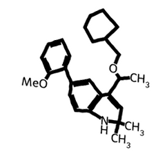 COc1ccccc1-c1ccc2c(c1)C(C(C)OCC1CCCCC1)=CC(C)(C)N2